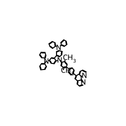 Cc1cc(-n2c3ccc(N(c4ccccc4)c4ccccc4)cc3c3cc(N(c4ccccc4)c4ccccc4)ccc32)c(C)cc1-c1ccc(-c2cc3cccnc3c3ncccc23)cc1